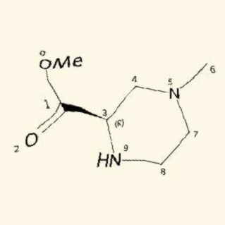 COC(=O)[C@H]1CN(C)CCN1